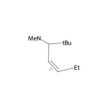 CC/C=C\C(NC)C(C)(C)C